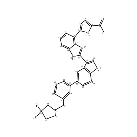 CC(=O)c1ccc(-c2cccc3[nH]c(-c4n[nH]c5ncc(-c6cncc(CN7CCC(F)(F)C7)c6)cc45)nc23)s1